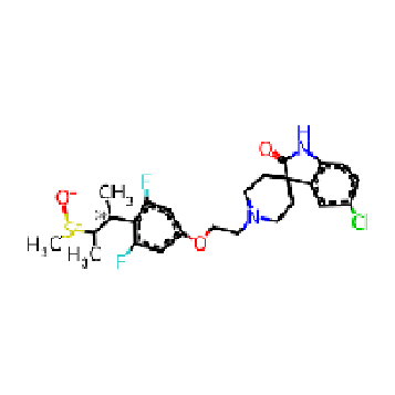 CC([C@@H](C)c1c(F)cc(OCCN2CCC3(CC2)C(=O)Nc2ccc(Cl)cc23)cc1F)[S+](C)[O-]